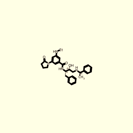 CCNc1cc(C(=O)N[C@@H](Cc2ccccc2)[C@H](O)CN[C@H](C)c2ccccc2)cc(N2CCCC2=O)c1